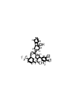 CN(Cc1ccc(C(F)(F)F)c(F)c1)C1CN(C(=O)N2CCC(O)(c3ccncc3)CC2)CC1c1ccc(Cl)c(Cl)c1